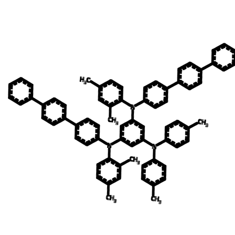 Cc1ccc(N(c2ccc(C)cc2)c2cc(N(c3ccc(-c4ccc(-c5ccccc5)cc4)cc3)c3ccc(C)cc3C)cc(N(c3ccc(-c4ccc(-c5ccccc5)cc4)cc3)c3ccc(C)cc3C)c2)cc1